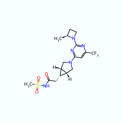 C[C@H]1CCN1c1nc(N2C[C@@H]3[C@H](CC(=O)NS(C)(=O)=O)[C@@H]3C2)cc(C(F)(F)F)n1